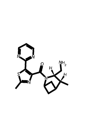 Cc1nc(C(=O)N2C3CC(C3)[C@@H](C)[C@H]2CN)c(-c2ncccn2)s1